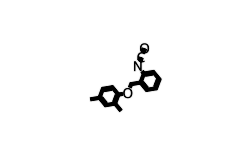 Cc1ccc(OCc2ccccc2N=C=O)c(C)c1